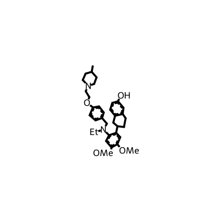 CCN(Cc1ccc(OCCN2CCC(C)CC2)cc1)c1cc(OC)c(OC)cc1C1CCc2cc(O)ccc2C1